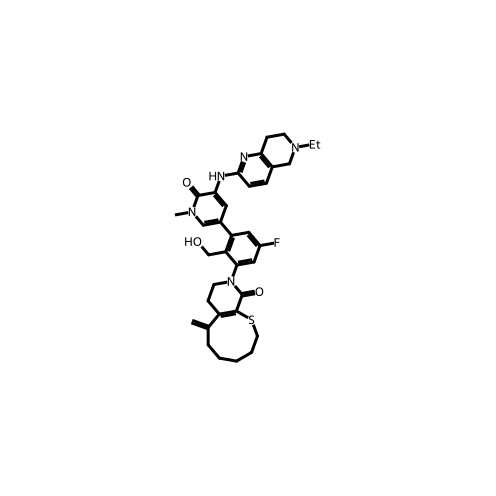 C=C1CCCCCSC2=C1CCN(c1cc(F)cc(-c3cc(Nc4ccc5c(n4)CCN(CC)C5)c(=O)n(C)c3)c1CO)C2=O